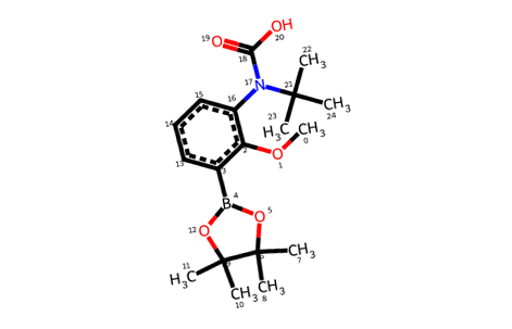 COc1c(B2OC(C)(C)C(C)(C)O2)cccc1N(C(=O)O)C(C)(C)C